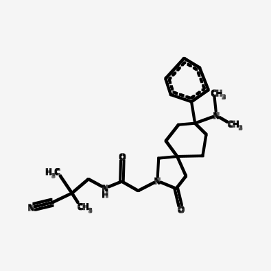 CN(C)C1(c2ccccc2)CCC2(CC1)CC(=O)N(CC(=O)NCC(C)(C)C#N)C2